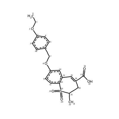 CCOc1ccc(COc2ccc3c(c2)C=C(C(=O)O)CC(C)S3(=O)=O)cc1